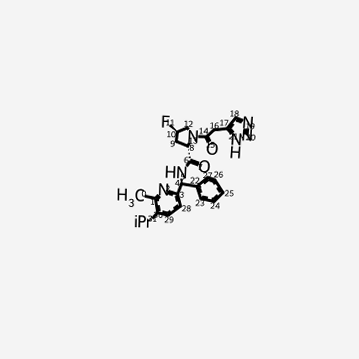 Cc1nc([C@@H](NC(=O)[C@@H]2C[C@@H](F)CN2C(=O)Cc2cnn[nH]2)c2ccccc2)ccc1C(C)C